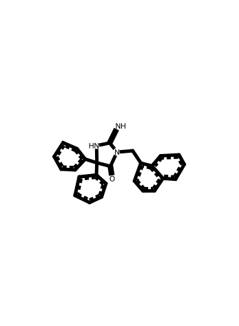 N=C1NC(c2ccccc2)(c2ccccc2)C(=O)N1Cc1cccc2ccccc12